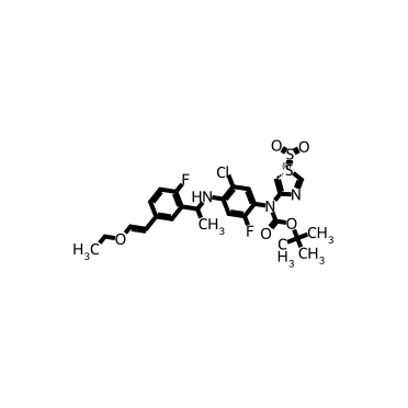 CCOC=Cc1ccc(F)c(C(C)Nc2cc(F)c(N(C(=O)OC(C)(C)C)C3=C[S@](=S(=O)=O)C=N3)cc2Cl)c1